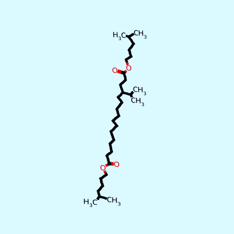 CC(C)CCCCOC(=O)CCCCCCCCCCCC(CCC(=O)OCCCCC(C)C)C(C)C